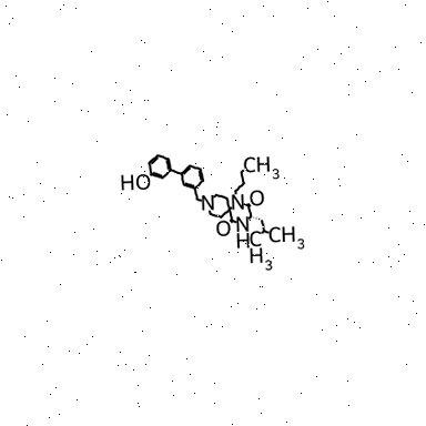 CCCCN1C(=O)[C@H](CC(C)C)NC(=O)C12CCN(Cc1cccc(-c3cccc(O)c3)c1)CC2